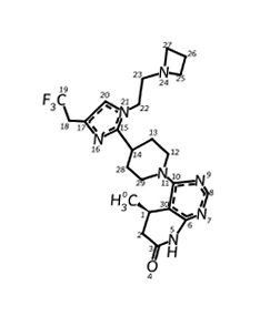 C[C@@H]1CC(=O)Nc2ncnc(N3CCC(c4nc(CC(F)(F)F)cn4CCN4CCC4)CC3)c21